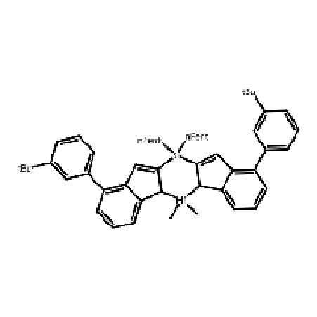 CCCCC[Si]1(CCCCC)C2=Cc3c(-c4cccc(C(C)(C)C)c4)cccc3[CH]2[Hf]([CH3])([CH3])[CH]2C1=Cc1c(-c3cccc(C(C)(C)C)c3)cccc12